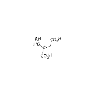 O=C(O)C[C@@H](O)C(=O)O.[KH]